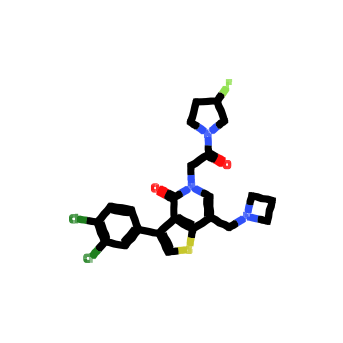 O=C(Cn1cc(CN2CCC2)c2scc(-c3ccc(Cl)c(Cl)c3)c2c1=O)N1CCC(F)C1